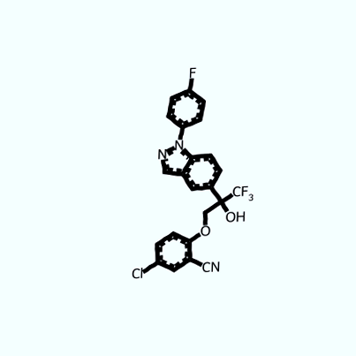 N#Cc1cc(Cl)ccc1OCC(O)(c1ccc2c(cnn2-c2ccc(F)cc2)c1)C(F)(F)F